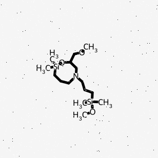 COCC1CN(CCC[Si](C)(C)OC)CCC[Si](C)(C)O1